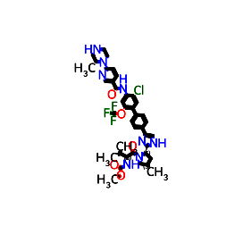 COC(=O)N[C@H](C(=O)N1C[C@@H](C)C[C@H]1c1nc(-c2ccc(-c3cc(Cl)c(NC(=O)c4ccc(N5CCNCC5C)nc4)cc3OC(F)(F)F)cc2)c[nH]1)C(C)C